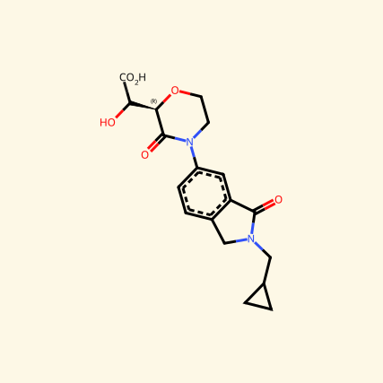 O=C(O)C(O)[C@H]1OCCN(c2ccc3c(c2)C(=O)N(CC2CC2)C3)C1=O